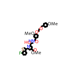 COC(=O)c1cc(-c2csc3c(F)cccc23)nc(C(O)CNC(=O)c2ccc(OCCOCc3ccc(OC)cc3)c(OC)c2)c1